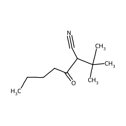 CCCCC(=O)C(C#N)C(C)(C)C